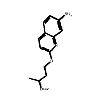 COC(C)CCOc1ccc2ccc(N)cc2n1